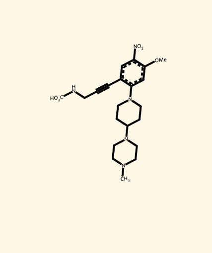 COc1cc(N2CCC(N3CCN(C)CC3)CC2)c(C#CCNC(=O)O)cc1[N+](=O)[O-]